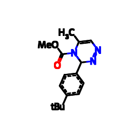 COC(=O)N1C(C)=CN=NC1c1ccc(C(C)(C)C)cc1